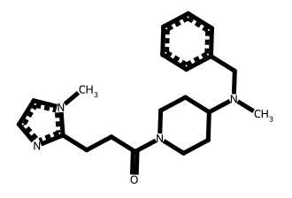 CN(Cc1ccccc1)C1CCN(C(=O)CCc2nccn2C)CC1